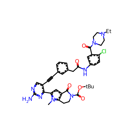 CCN1CCN(C(=O)c2cc(NC(=O)Cc3cccc(C#Cc4cnc(N)nc4-c4cc5c(n4C)CCN(C(=O)OC(C)(C)C)C5=O)c3)ccc2Cl)CC1